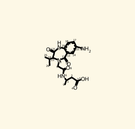 CC(CC(=O)O)NC(=O)CN1C(=O)c2cc(N)ccc2NC(=O)C1C(C)C